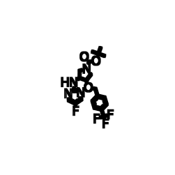 CC(C)(C)OC(=O)N1CC(Nc2ncc(F)cn2)C(OCc2ccc(C(F)(F)F)cc2)C1